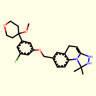 COC1(c2cc(F)cc(OCc3ccc4c(c3)CC=C3NNC(C)(C)N34)c2)CCOCC1